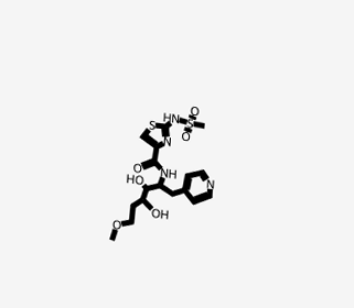 COCCC(O)C(O)C(Cc1ccncc1)NC(=O)c1csc(NS(C)(=O)=O)n1